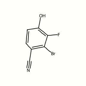 N#Cc1ccc(O)c(F)c1Br